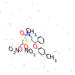 Cc1ccc(OC(CCN(C)C(=O)SCC(CO[N+](=O)[O-])O[N+](=O)[O-])c2ccccc2)cc1